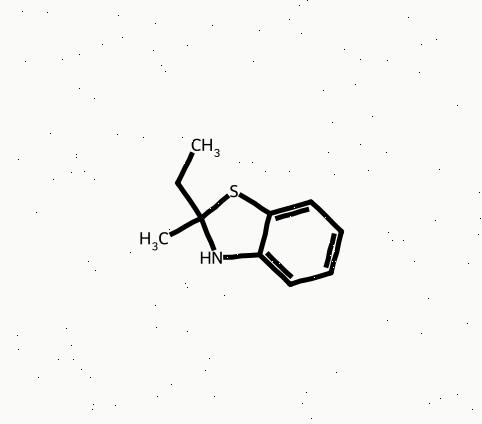 CCC1(C)Nc2ccccc2S1